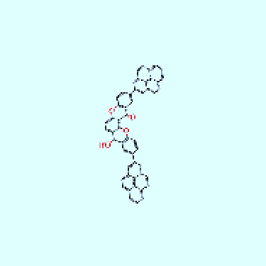 O=c1c2cc(-c3cc4ccc5cccc6ccc(c3)c4c56)ccc2oc2ccc3c(c12)Oc1ccc(-c2cc4ccc5cccc6ccc(c2)c4c56)cc1C3O